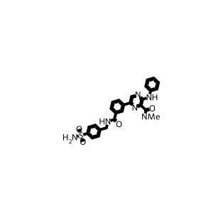 CNC(=O)c1nc(-c2cccc(C(=O)NCc3ccc(S(N)(=O)=O)cc3)c2)cnc1Nc1ccccc1